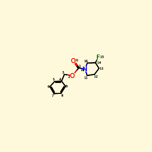 O=C(OCc1ccccc1)N1CCCC(F)C1